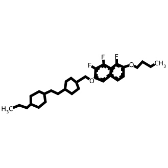 CCCCOc1ccc2cc(OCC3CCC(CCC4CCC(CCC)CC4)CC3)c(F)c(F)c2c1F